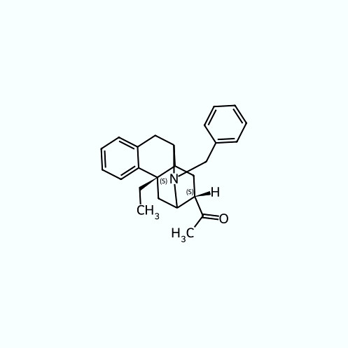 CC[C@]12CC3[C@@H](C(C)=O)CC1C(Cc1ccccc12)N3Cc1ccccc1